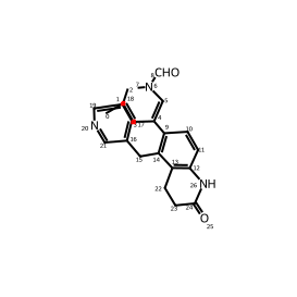 CC(C)=C/C(=C\N(C)C=O)c1ccc2c(c1Cc1cccnc1)CCC(=O)N2